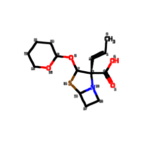 CC=C[C@]1(C(=O)O)C(OC2CCCCO2)SC2CCN21